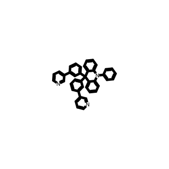 c1ccc(N2c3ccccc3C(c3cccc(-c4cccnc4)c3)(c3cccc(-c4cccnc4)c3)c3ccccc32)cc1